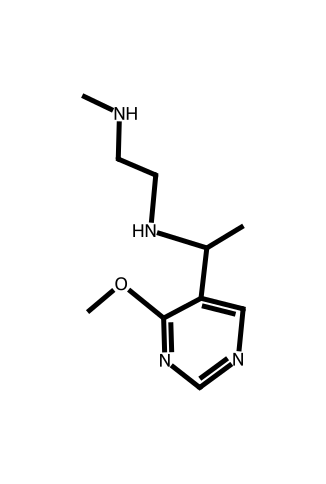 CNCCNC(C)c1cncnc1OC